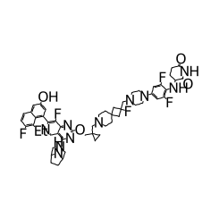 CCc1c(F)ccc2cc(O)cc(-c3ncc4c(N5CC6CCC(C5)N6)nc(OCC5(CN6CCC7(CC6)CC(F)(CN6CCN(c8cc(F)c(NC9CCC(=O)NC9=O)c(F)c8)CC6)C7)CC5)nc4c3F)c12